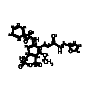 COc1c(C=CC(=O)NCc2ccco2)c(NS(=O)(=O)c2ccccc2)cc2[nH]c(=O)oc(=O)c12